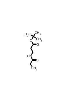 CCC(=O)NCCC(=O)OC(C)(C)C